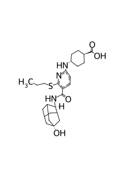 CCCSc1nc(N[C@H]2CC[C@H](C(=O)O)CC2)ccc1C(=O)N[C@H]1C2CC3CC1C[C@](O)(C3)C2